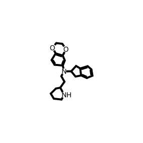 c1ccc2c(c1)CC(N(CCC1CCCCN1)c1ccc3c(c1)OCCO3)C2